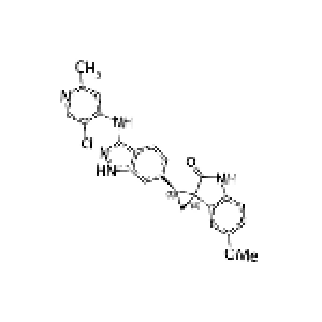 COc1ccc2c(c1)[C@@]1(C[C@H]1c1ccc3c(Nc4cc(C)ncc4Cl)n[nH]c3c1)C(=O)N2